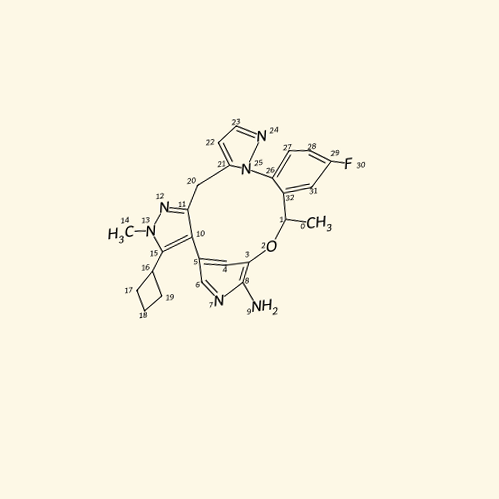 CC1Oc2cc(cnc2N)-c2c(nn(C)c2C2CCC2)Cc2ccnn2-c2ccc(F)cc21